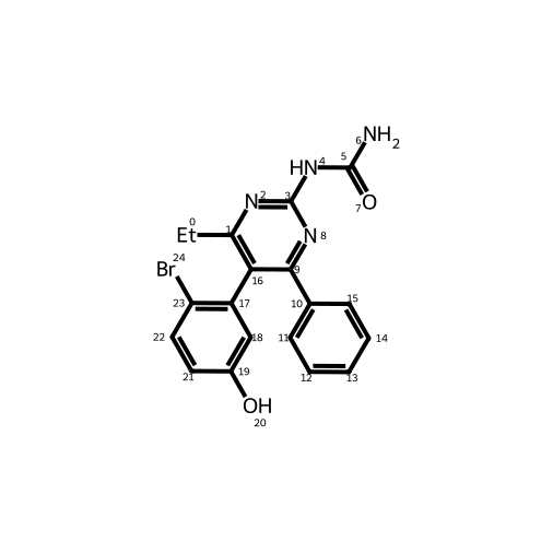 CCc1nc(NC(N)=O)nc(-c2ccccc2)c1-c1cc(O)ccc1Br